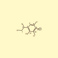 CCC(C)c1cc(C)c(Cl)c(C)c1C